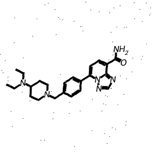 CCN(CC)C1CCN(Cc2ccc(-c3ccc(C(N)=O)c4n[c]nn34)cc2)CC1